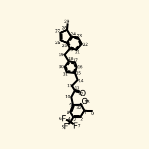 CC1C=C(C(F)(F)F)C=C(CC(=O)CCc2ccc(Cc3cccc4c3C=CC4C)cc2)C1=O